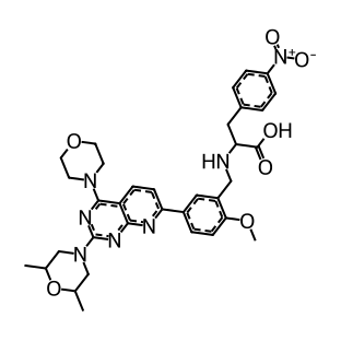 COc1ccc(-c2ccc3c(N4CCOCC4)nc(N4CC(C)OC(C)C4)nc3n2)cc1CNC(Cc1ccc([N+](=O)[O-])cc1)C(=O)O